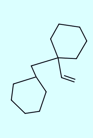 C=CC1(CC2CCCCC2)CCCCC1